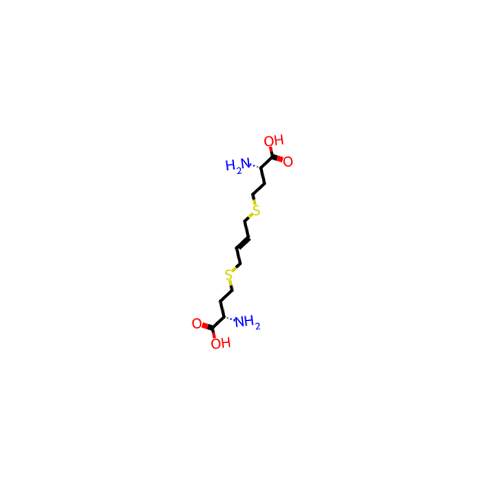 N[C@@H](CCSC/C=C/CSCC[C@H](N)C(=O)O)C(=O)O